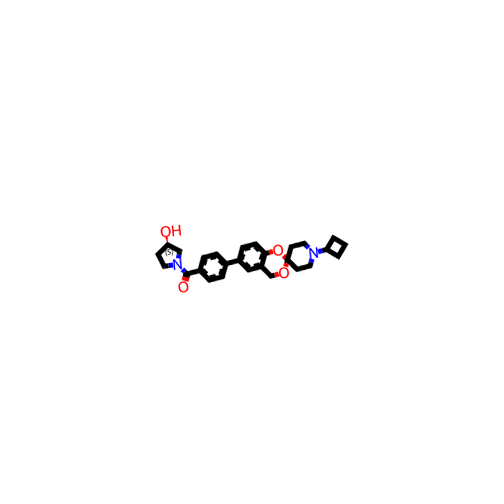 O=C(c1ccc(-c2ccc3c(c2)COC2(CCN(C4CCC4)CC2)O3)cc1)N1CC[C@H](O)C1